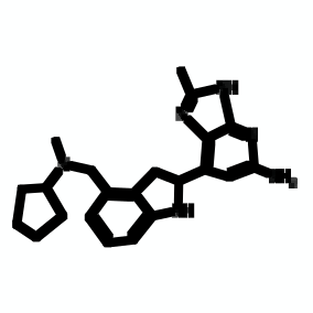 Cc1nc2c(C3Cc4c(CN(C)C5CCCC5)cccc4N3)cc(N)nc2[nH]1